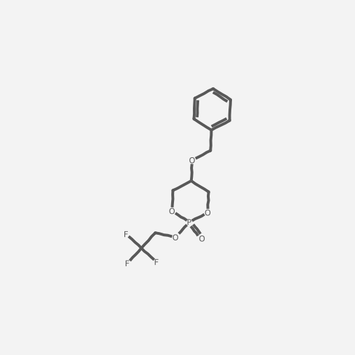 O=P1(OCC(F)(F)F)OCC(OCc2ccccc2)CO1